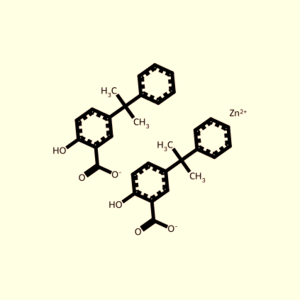 CC(C)(c1ccccc1)c1ccc(O)c(C(=O)[O-])c1.CC(C)(c1ccccc1)c1ccc(O)c(C(=O)[O-])c1.[Zn+2]